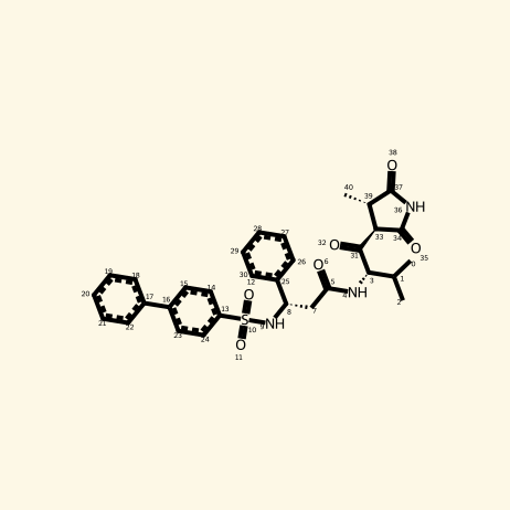 CC(C)[C@H](NC(=O)C[C@H](NS(=O)(=O)c1ccc(-c2ccccc2)cc1)c1ccccc1)C(=O)[C@@H]1C(=O)NC(=O)[C@H]1C